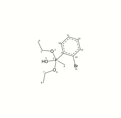 CCOP(C)(O)(OCC)c1ccccc1Br